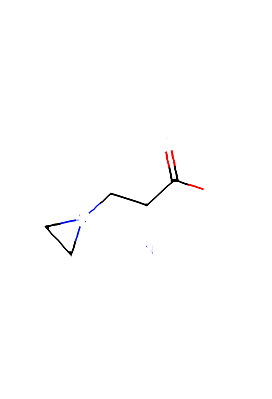 N.O=C(O)CCN1CC1